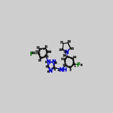 Fc1cc(Nc2ncn(-c3cccc(F)c3)n2)cc(N2CCCC2)c1